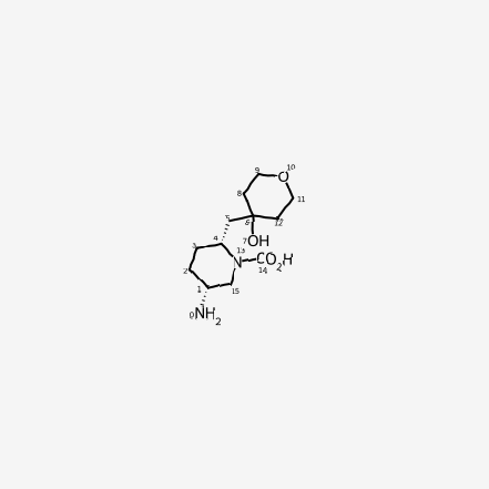 N[C@@H]1CC[C@H](CC2(O)CCOCC2)N(C(=O)O)C1